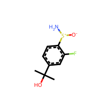 CC(C)(O)c1ccc([S+](N)[O-])c(F)c1